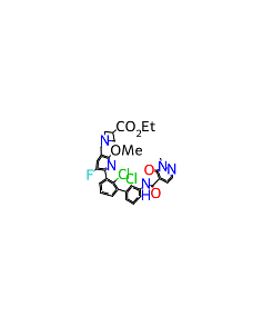 CCOC(=O)C1CN(Cc2cc(F)c(-c3cccc(-c4cccc(NC(=O)c5ccnn(C)c5=O)c4Cl)c3Cl)nc2OC)C1